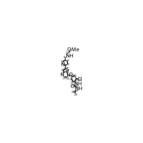 COCCNCc1ccc(-c2cc3nccc(Oc4ccc(NC(=O)NC5CC5)c(Cl)c4)c3s2)nc1